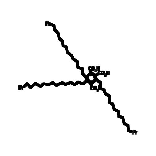 CC(C)CCCCCCCCCCCCCCc1c(CCCCCCCCCCCCCCC(C)C)c(C(=O)O)c(C(=O)O)c(CCCCCCCCCCCCCCC(C)C)c1C(=O)O